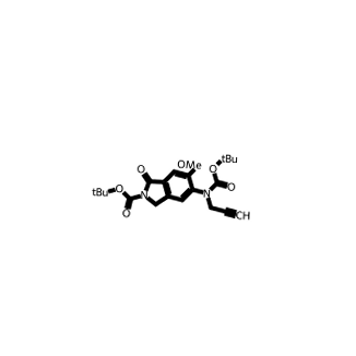 C#CCN(C(=O)OC(C)(C)C)c1cc2c(cc1OC)C(=O)N(C(=O)OC(C)(C)C)C2